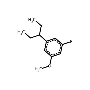 CCC(CC)c1cc(F)cc(OC)c1